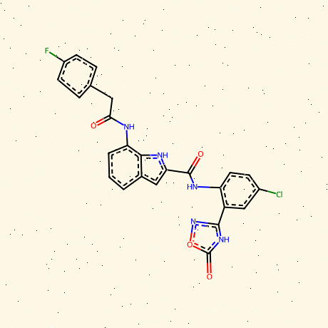 O=C(Cc1ccc(F)cc1)Nc1cccc2cc(C(=O)Nc3ccc(Cl)cc3-c3noc(=O)[nH]3)[nH]c12